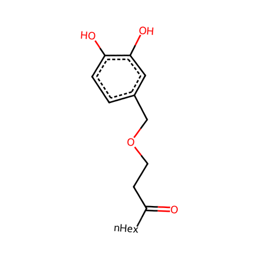 CCCCCCC(=O)CCOCc1ccc(O)c(O)c1